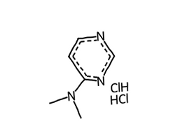 CN(C)c1ccncn1.Cl.Cl